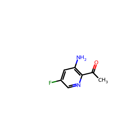 CC(=O)c1ncc(F)cc1N